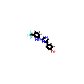 Oc1ccc(-c2cncc(Nc3cccc(C(F)(F)F)c3)n2)cc1